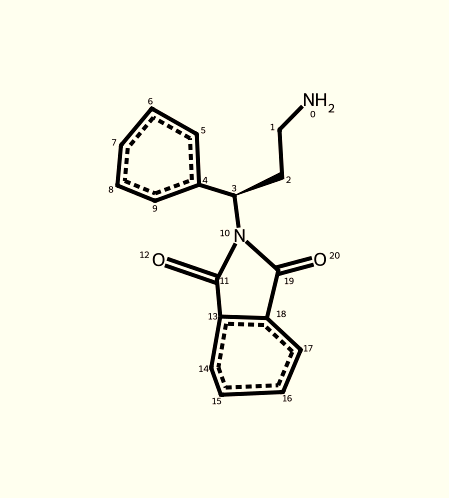 NCC[C@H](c1ccccc1)N1C(=O)c2ccccc2C1=O